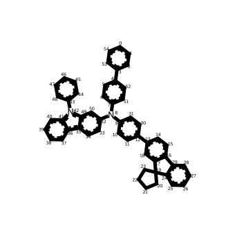 c1ccc(-c2ccc(N(c3ccc(-c4ccc5c(c4)C4(CCCC4)c4ccccc4-5)cc3)c3ccc4c5ccccc5n(-c5ccccc5)c4c3)cc2)cc1